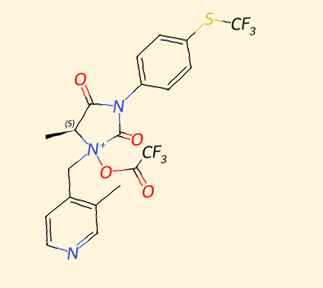 Cc1cnccc1C[N+]1(OC(=O)C(F)(F)F)C(=O)N(c2ccc(SC(F)(F)F)cc2)C(=O)[C@@H]1C